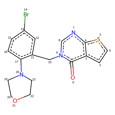 O=c1c2ccsc2ncn1Cc1cc(Br)ccc1N1CCOCC1